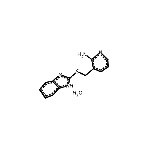 Nc1ncccc1CSc1nc2ccccc2[nH]1.O